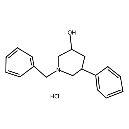 Cl.OC1CC(c2ccccc2)CN(Cc2ccccc2)C1